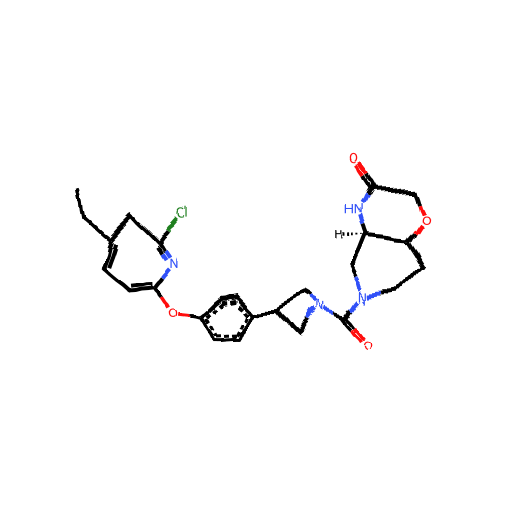 CCC1=CC=C(Oc2ccc(C3CN(C(=O)N4CCC5OCC(=O)N[C@@H]5C4)C3)cc2)N=C(Cl)C1